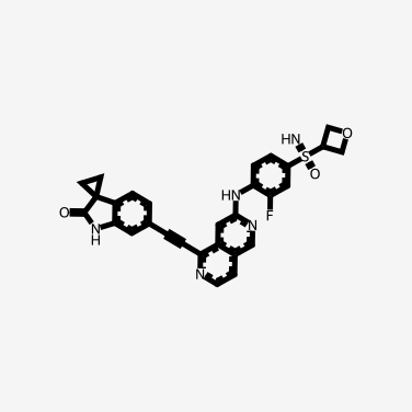 N=S(=O)(c1ccc(Nc2cc3c(C#Cc4ccc5c(c4)NC(=O)C54CC4)nccc3cn2)c(F)c1)C1COC1